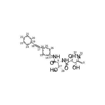 C=C([C@H](O)[C@@H](O)C(=O)N[C@@H](C(=O)Nc1ccc(C#Cc2ccccc2)cc1)[C@H](C)O)N(C)C